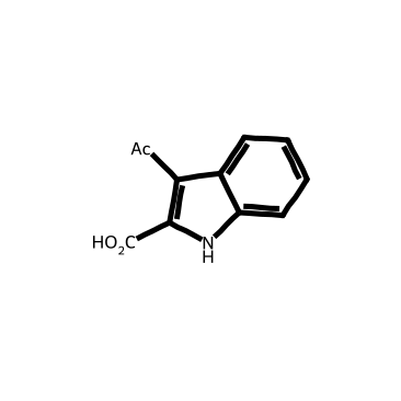 CC(=O)c1c(C(=O)O)[nH]c2ccccc12